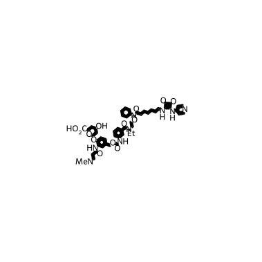 CCN(CCON(C(=O)CCCCCCNc1c(Nc2ccncc2)c(=O)c1=O)C1CCCCC1)C(=O)c1cccc(NC(=O)OCc2ccc(OC3CC(O)CC(C(=O)O)O3)c(NC(=O)CCNC)c2)c1